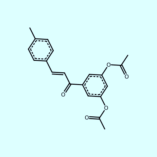 CC(=O)Oc1cc(OC(C)=O)cc(C(=O)/C=C/c2ccc(C)cc2)c1